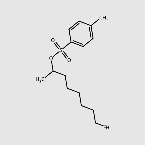 [2H]CCCCCCC(C)OS(=O)(=O)c1ccc(C)cc1